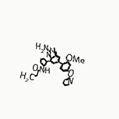 C=CC(=O)Nc1cccc(-c2cc(-c3ccc(Oc4ccccn4)cc3OC)cc3cnc(N)nc23)c1